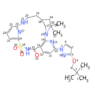 CC(C)(C)COc1ccn(-c2ccc3c(n2)N2CC(CCNc4cccc(n4)S(=O)(=O)NC3=O)CC2(C)C)n1